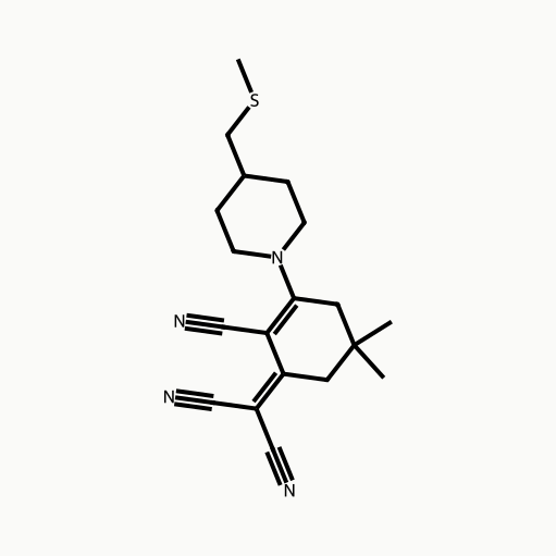 CSCC1CCN(C2=C(C#N)C(=C(C#N)C#N)CC(C)(C)C2)CC1